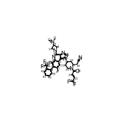 Cc1cc2c(nc(N3CC(N(C)C)C3)c3nnn([C@H]4CCN(C(=O)/C=C/C(F)F)[C@H](CC#N)C4)c32)c(F)c1-c1ccccc1C(F)(F)F